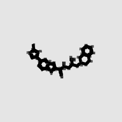 Cc1ncc(-c2ccc3nc(C(=O)NCC(O)CN4CCc5ccccc5C4)cn3c2)s1